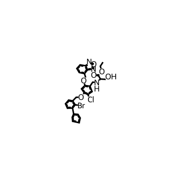 CCOC(=O)C(CO)NCc1cc(Cl)c(OCc2cccc(-c3ccccc3)c2Br)cc1OCc1cccc2nonc12